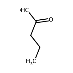 [CH]C(=O)CCC